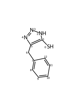 Sc1[nH]nnc1Cc1ccccc1